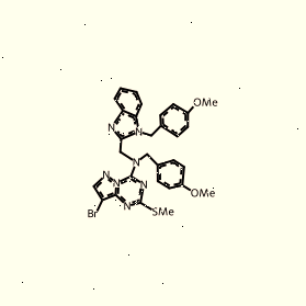 COc1ccc(CN(Cc2nc3ccccc3n2Cc2ccc(OC)cc2)c2nc(SC)nc3c(Br)cnn23)cc1